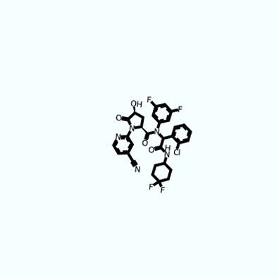 N#Cc1ccnc(N2C(=O)[C@@H](O)C[C@H]2C(=O)N(c2cc(F)cc(F)c2)C(C(=O)NC2CCC(F)(F)CC2)c2ccccc2Cl)c1